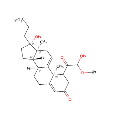 CC(C)OC(O)C(=O)C1CC(=O)C=C2CC[C@@H]3C(=CC[C@@]4(C)[C@H]3CC[C@@]4(O)CCC(=O)O)[C@]21C